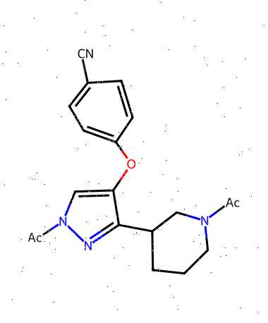 CC(=O)N1CCCC(c2nn(C(C)=O)cc2Oc2ccc(C#N)cc2)C1